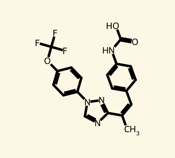 CC(=Cc1ccc(NC(=O)O)cc1)c1ncn(-c2ccc(OC(F)(F)F)cc2)n1